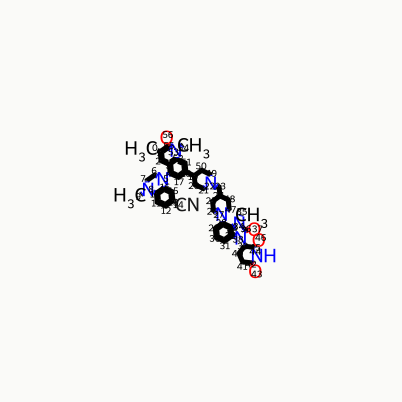 Cc1cc2c(N3CCN(C)c4ccc(C#N)cc43)cc(C3CCN(CC4CCN(c5cccc6c5n(C)c(=O)n6C5CCC(=O)NC5=O)CC4)CC3)cc2n(C)c1=O